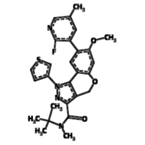 COc1cc2c(cc1-c1cc(C)cnc1F)-c1c(c(C(=O)N(C)C(C)(C)C)nn1-c1ccsc1)CO2